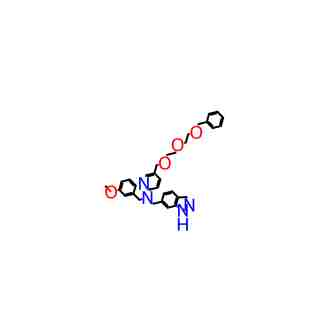 COc1cccc(CN(Cc2ccc3cn[nH]c3c2)c2ccc(COCCOCCOCc3ccccc3)cn2)c1